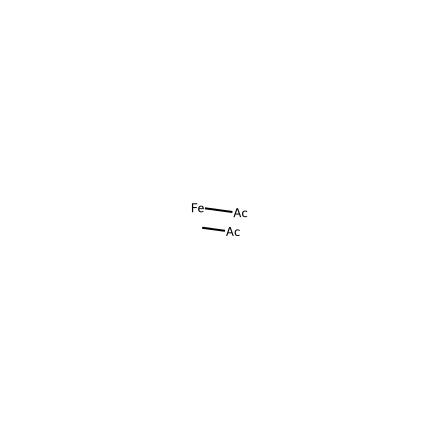 CC(C)=O.C[C](=O)[Fe]